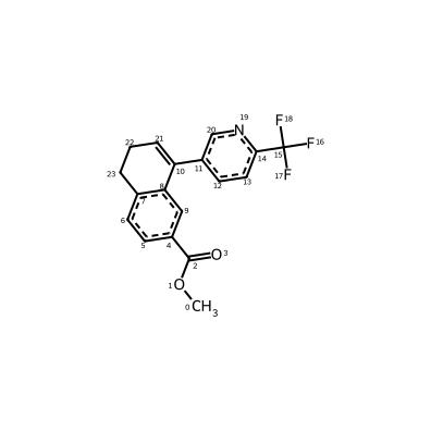 COC(=O)c1ccc2c(c1)C(c1ccc(C(F)(F)F)nc1)=CCC2